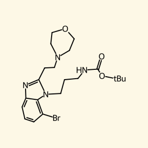 CC(C)(C)OC(=O)NCCCn1c(CCN2CCOCC2)nc2cccc(Br)c21